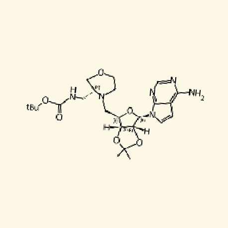 CC(C)(C)OC(=O)NC[C@@H]1COCCN1C[C@H]1O[C@@H](n2ccc3c(N)ncnc32)[C@@H]2OC(C)(C)O[C@@H]21